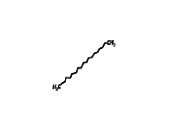 CCCCCCCC=CCCCCCCCCCC